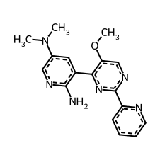 COc1cnc(-c2ccccn2)nc1-c1cc(N(C)C)cnc1N